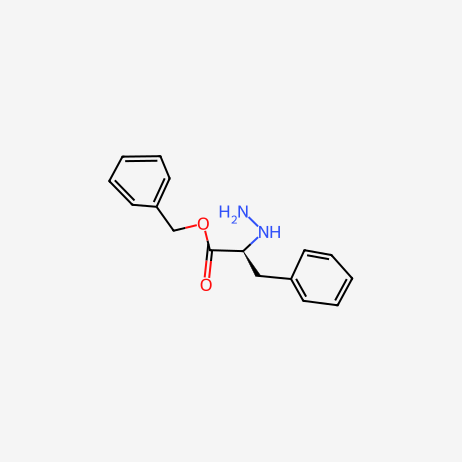 NN[C@@H](Cc1ccccc1)C(=O)OCc1ccccc1